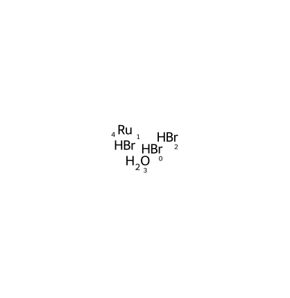 Br.Br.Br.O.[Ru]